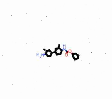 Cc1cc(-c2ccc(NC(=O)Oc3ccccc3)c(C)c2)ccc1N